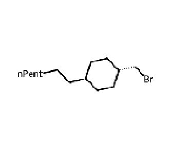 CCCCCCC[C@H]1CC[C@H](CBr)CC1